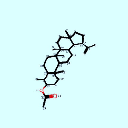 C=C(C)[C@@H]1CCC2(C)CC[C@]3(C)C(CCC4C5(C)CCC(OC(C)=O)C(C)C5CCC43C)C12